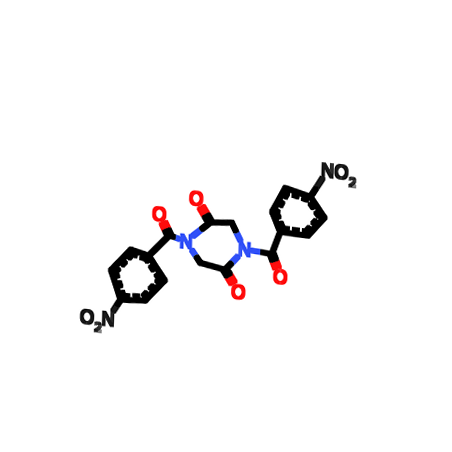 O=C1CN(C(=O)c2ccc([N+](=O)[O-])cc2)C(=O)CN1C(=O)c1ccc([N+](=O)[O-])cc1